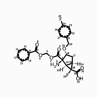 N[C@]1(C(=O)OCOC(=O)c2ccccc2)[C@H]2[C@@H](C[C@H]1OCc1ccc(F)cc1)[C@]2(F)C(=O)O